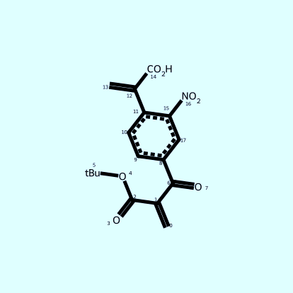 C=C(C(=O)OC(C)(C)C)C(=O)c1ccc(C(=C)C(=O)O)c([N+](=O)[O-])c1